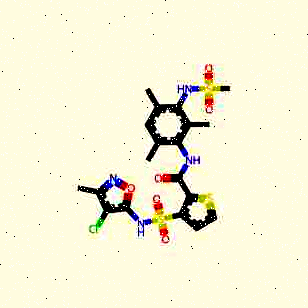 Cc1cc(C)c(NS(C)(=O)=O)c(C)c1NC(=O)c1sccc1S(=O)(=O)Nc1onc(C)c1Cl